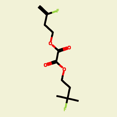 C=C(F)CCOC(=O)C(=O)OCCC(C)(C)F